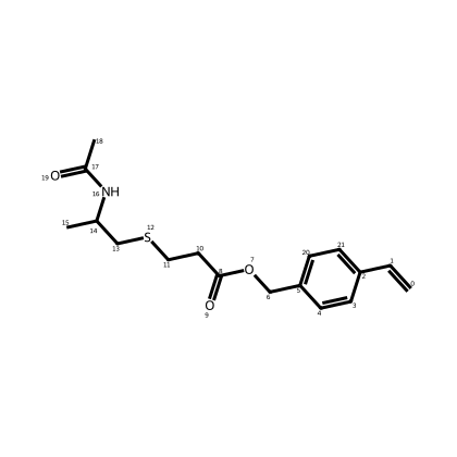 C=Cc1ccc(COC(=O)CCSCC(C)NC(C)=O)cc1